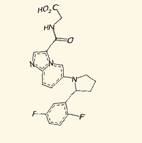 O=C(O)CNC(=O)c1cnc2ccc(N3CCCC3c3cc(F)ccc3F)cn12